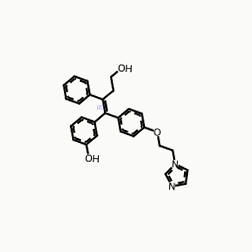 OCC/C(=C(\c1ccc(OCCn2ccnc2)cc1)c1cccc(O)c1)c1ccccc1